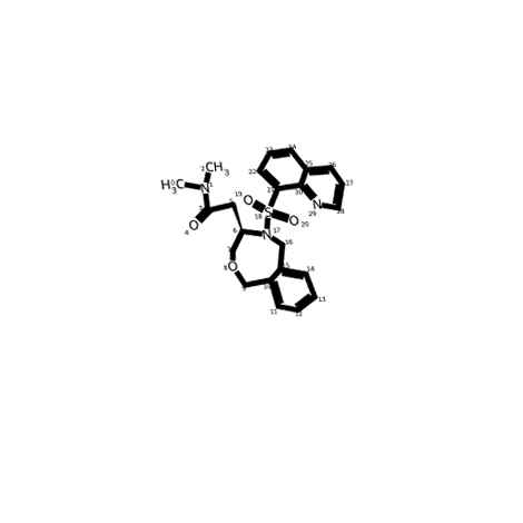 CN(C)C(=O)C[C@@H]1COCc2ccccc2CN1S(=O)(=O)c1cccc2cccnc12